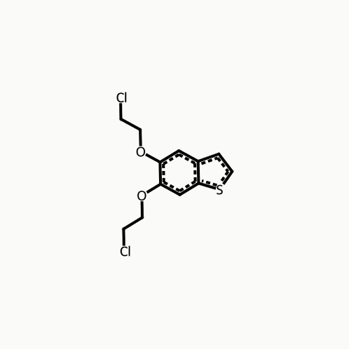 ClCCOc1cc2ccsc2cc1OCCCl